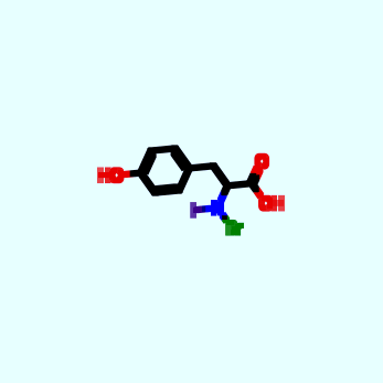 O=C(O)C(Cc1ccc(O)cc1)N(Br)I